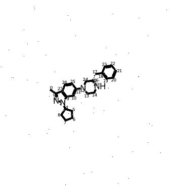 Cc1nn(C2CCCC2)c2cc(N3CCN[C@@H](Cc4ccccc4)C3)ccc12